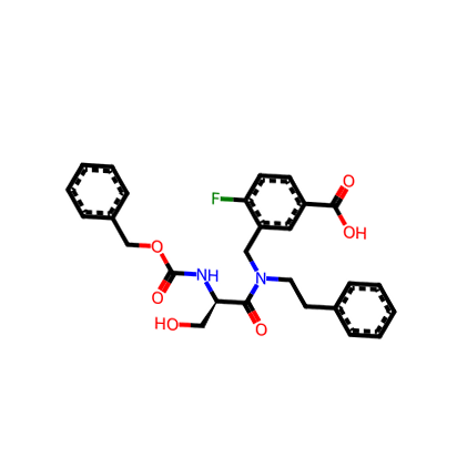 O=C(N[C@H](CO)C(=O)N(CCc1ccccc1)Cc1cc(C(=O)O)ccc1F)OCc1ccccc1